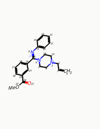 C=CCN1CCN(/C(=N\c2ccccc2)c2cccc(C(=O)OC)c2)CC1